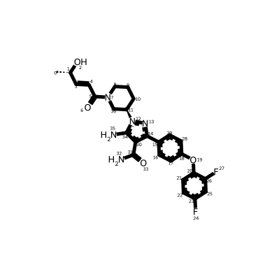 C[C@H](O)/C=C/C(=O)N1CCC[C@@H](n2nc(-c3ccc(Oc4ccc(F)cc4F)cc3)c(C(N)=O)c2N)C1